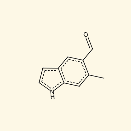 Cc1cc2[nH]ccc2cc1C=O